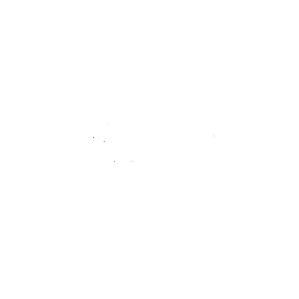 CCCCc1c(F)n(C(C)(C)C)c(=O)n1Cc1ccc(-c2ccccc2C(=O)O)cc1